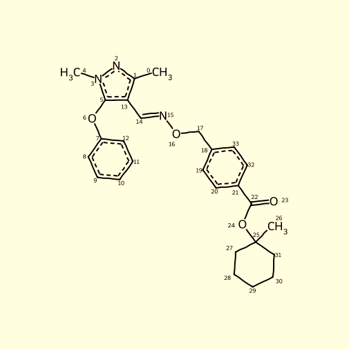 Cc1nn(C)c(Oc2ccccc2)c1/C=N/OCc1ccc(C(=O)OC2(C)CCCCC2)cc1